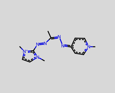 CC(N=Nc1n(C)cc[n+]1C)=NN=c1ccn(C)cc1